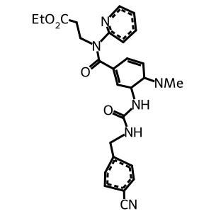 CCOC(=O)CCN(C(=O)C1=CC(NC(=O)NCc2ccc(C#N)cc2)C(NC)C=C1)c1ccccn1